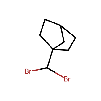 BrC(Br)C12CCC(CC1)C2